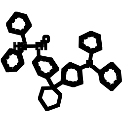 O=[PH](c1ccc(C2(c3ccc(N(c4ccccc4)c4ccccc4)cc3)CCCCC2)cc1)[SiH](c1ccccc1)c1ccccc1